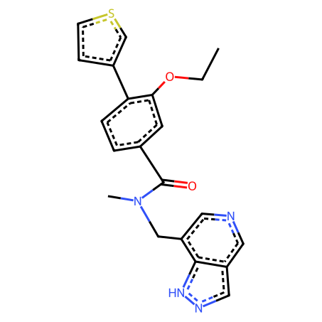 CCOc1cc(C(=O)N(C)Cc2cncc3cn[nH]c23)ccc1-c1ccsc1